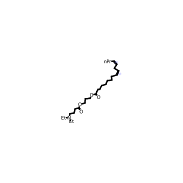 CCC/C=C\C/C=C\CCCCCCCC(=O)OCCCOC(=O)CCCN(CC)CC